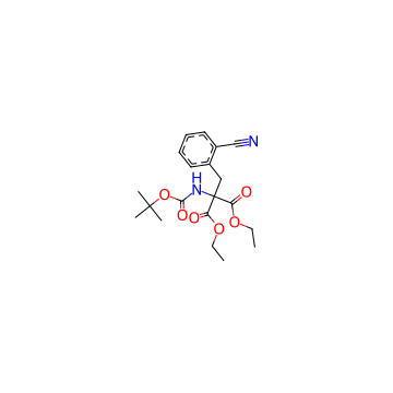 CCOC(=O)C(Cc1ccccc1C#N)(NC(=O)OC(C)(C)C)C(=O)OCC